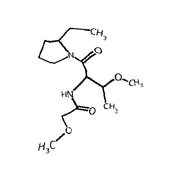 CCC1CCCN1C(=O)C(NC(=O)COC)C(C)OC